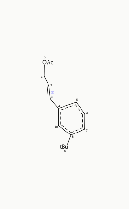 CC(=O)OC/C=C/c1cccc(C(C)(C)C)c1